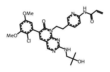 C=CC(=O)Nc1ccc(CCn2c(=O)c(-c3cc(OC)cc(OC)c3Cl)cc3cnc(NCC(C)(C)O)nc32)cn1